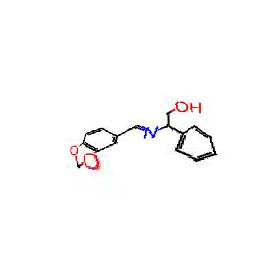 OCC(N=Cc1ccc2c(c1)OCO2)c1ccccc1